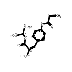 C=CC(=O)Oc1ccc(C=C(C(=O)O)C(=O)OC(CCCCCCC)CCCCCCCC)cc1